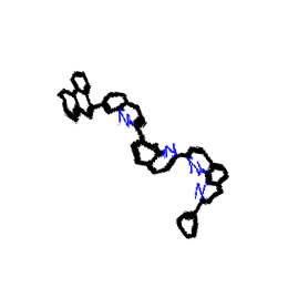 c1ccc(-c2ccc3ccc4ccc(-c5ccc6ccc(-c7ccc8ccc(-c9cc%10ccccc%10c%10ccccc9%10)cc8n7)cc6n5)nc4c3n2)cc1